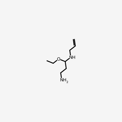 C=CCNC(CCN)OCC